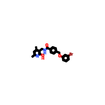 Cc1cc(C)c(CNC(=O)c2ccc(COc3cccc(Br)c3)cc2)c(O)n1